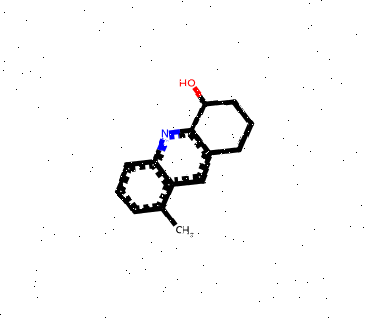 Cc1cccc2nc3c(cc12)CCCC3O